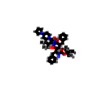 CC(C)[C@H](NC(=O)[C@@H](Cc1ccccc1)C[C@@H](O)[C@H](Cc1ccccc1)NC(=O)OC(C)(C)C)C(=O)N1CCC(N2CCCC2)CC1